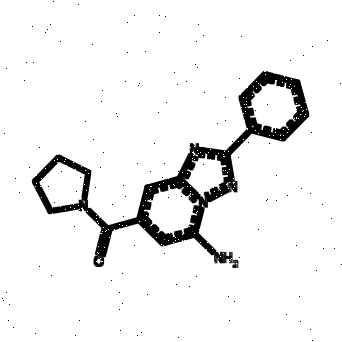 Nc1cc(C(=O)N2CCCC2)cc2nc(-c3ccccc3)nn12